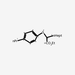 CCCCCCCC(Sc1ccc(CCC)cc1)C(=O)OCC